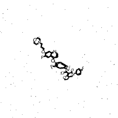 O=C(Nc1ccc(Oc2ccnc3cc(OCCCN4CCOCC4)c(F)cc23)c(F)c1)c1c2c(cn(-c3ccc(F)cc3)c1=O)CCO2